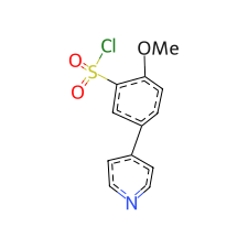 COc1ccc(-c2ccncc2)cc1S(=O)(=O)Cl